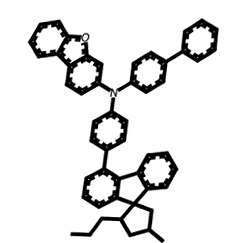 CCCC1CC(C)CC12c1ccccc1-c1c(-c3ccc(N(c4ccc(-c5ccccc5)cc4)c4ccc5c(c4)oc4ccccc45)cc3)cccc12